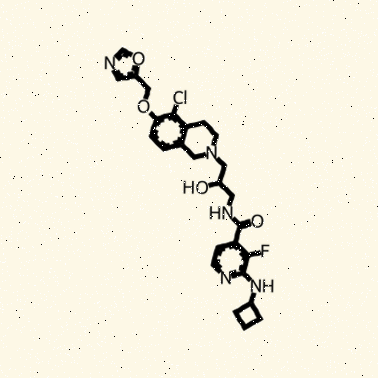 O=C(NCC(O)CN1CCc2c(ccc(OCc3cnco3)c2Cl)C1)c1ccnc(NC2CCC2)c1F